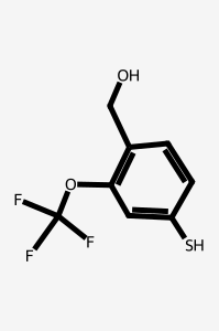 OCc1ccc(S)cc1OC(F)(F)F